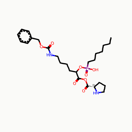 CCCCCCCP(=O)(O)OC(CCCCNC(=O)OCc1ccccc1)C(=O)OC(=O)[C@@H]1CCCN1